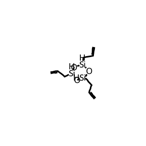 C=CC[SiH]1O[SiH](CC=C)O[SiH](CC=C)O1